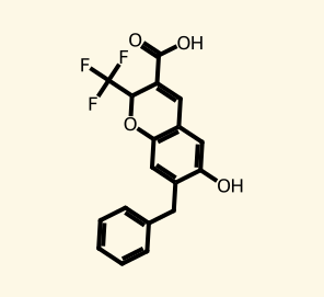 O=C(O)C1=Cc2cc(O)c(Cc3ccccc3)cc2OC1C(F)(F)F